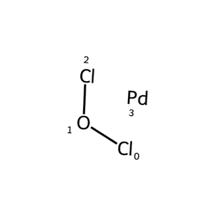 ClOCl.[Pd]